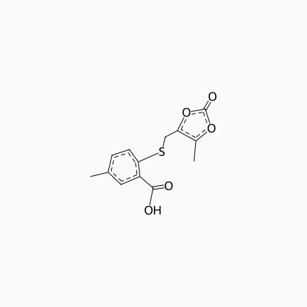 Cc1ccc(SCc2oc(=O)oc2C)c(C(=O)O)c1